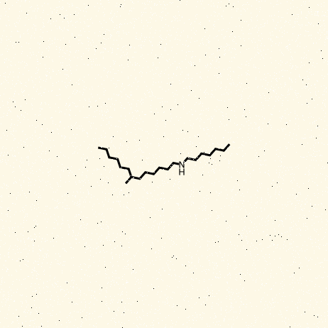 CCCCCCCNCCCCCCC(C)CCCCCC